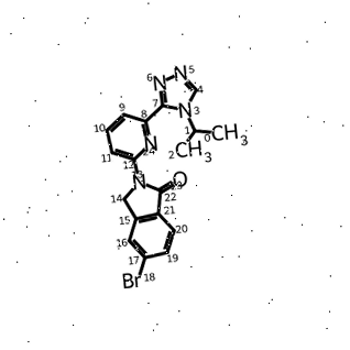 CC(C)n1cnnc1-c1cccc(N2Cc3cc(Br)ccc3C2=O)n1